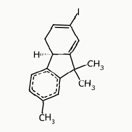 Cc1ccc2c(c1)C(C)(C)C1=CC(I)=CC[C@@H]12